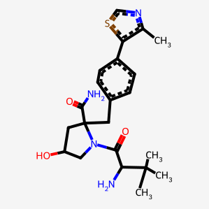 Cc1ncsc1-c1ccc(CC2(C(N)=O)CC(O)CN2C(=O)C(N)C(C)(C)C)cc1